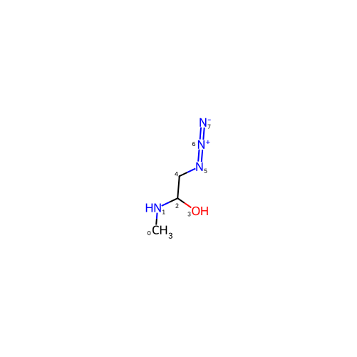 CNC(O)CN=[N+]=[N-]